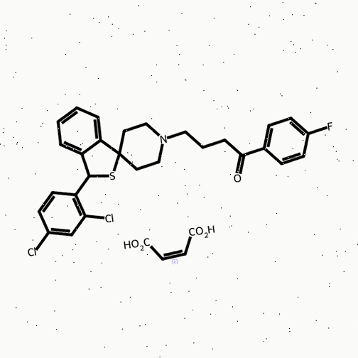 O=C(CCCN1CCC2(CC1)SC(c1ccc(Cl)cc1Cl)c1ccccc12)c1ccc(F)cc1.O=C(O)/C=C\C(=O)O